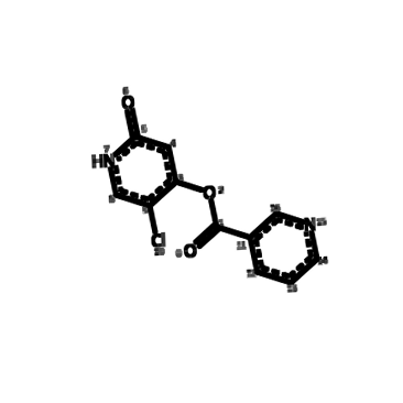 O=C(Oc1cc(=O)[nH]cc1Cl)c1cccnc1